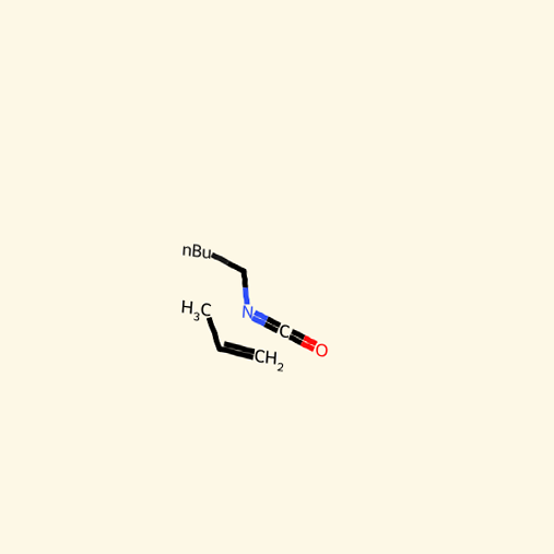 C=CC.CCCCCN=C=O